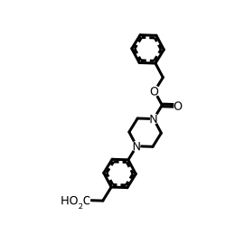 O=C(O)Cc1ccc(N2CCN(C(=O)OCc3ccccc3)CC2)cc1